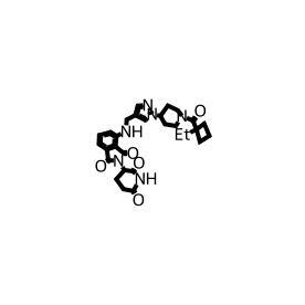 CCC1(C(=O)N2CCC(n3cc(CNc4cccc5c4C(=O)N(C4CCC(=O)NC4=O)C5=O)cn3)CC2)CCC1